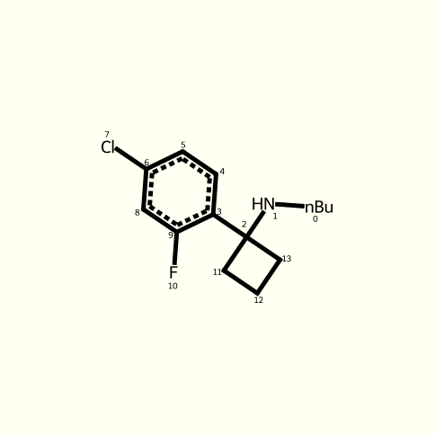 CCCCNC1(c2ccc(Cl)cc2F)CCC1